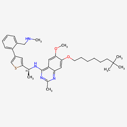 CNCc1ccccc1-c1csc([C@H](C)Nc2nc(C)nc3cc(OCCCCCCC(C)(C)C)c(OC)cc23)c1